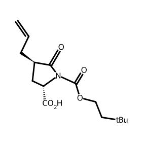 C=CC[C@@H]1C[C@@H](C(=O)O)N(C(=O)OCCC(C)(C)C)C1=O